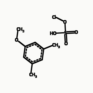 COc1cc(C)cc(C)c1.O=S(=O)(O)OCl